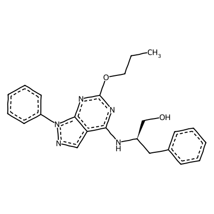 CCCOc1nc(N[C@@H](CO)Cc2ccccc2)c2cnn(-c3ccccc3)c2n1